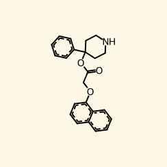 O=C(COc1cccc2ccccc12)OC1(c2ccccc2)CCNCC1